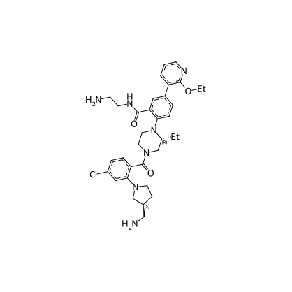 CCOc1ncccc1-c1ccc(N2CCN(C(=O)c3ccc(Cl)cc3N3CC[C@@H](CN)C3)C[C@H]2CC)c(C(=O)NCCN)c1